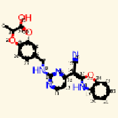 CC(Oc1ccc(CNc2nccc(/C(C#N)=C3\Nc4ccccc4O3)n2)cc1)C(=O)O